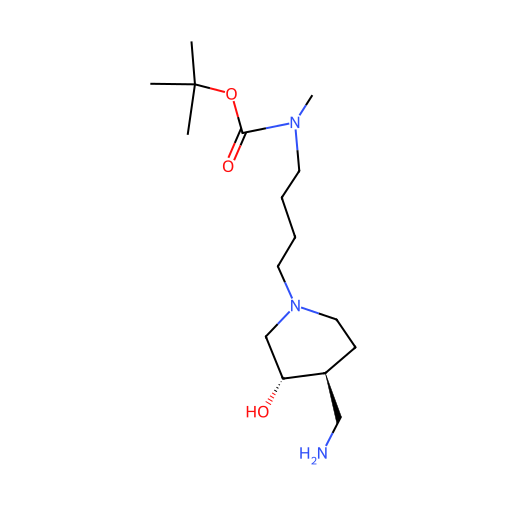 CN(CCCCN1CC[C@@H](CN)[C@H](O)C1)C(=O)OC(C)(C)C